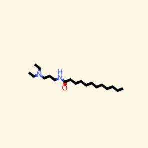 CCCCCCCCCCCC(=O)NCCCN(CC)CC